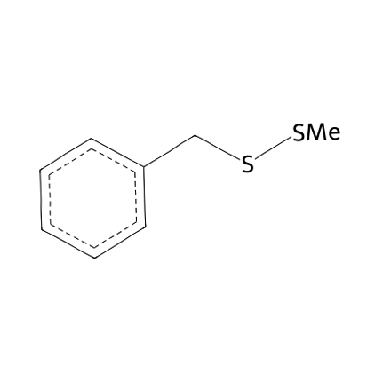 [CH2]SSCc1ccccc1